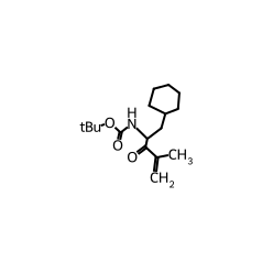 C=C(C)C(=O)C(CC1CCCCC1)NC(=O)OC(C)(C)C